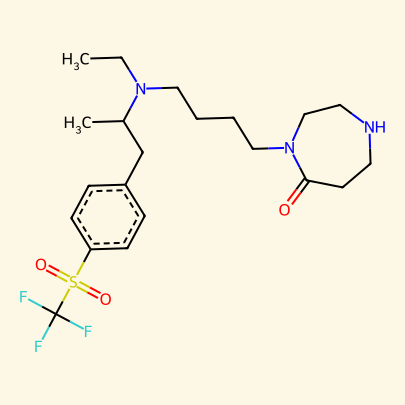 CCN(CCCCN1CCNCCC1=O)C(C)Cc1ccc(S(=O)(=O)C(F)(F)F)cc1